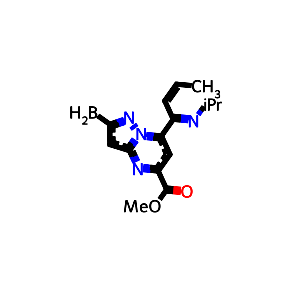 Bc1cc2nc(C(=O)OC)cc(C(/C=C\C)=N/C(C)C)n2n1